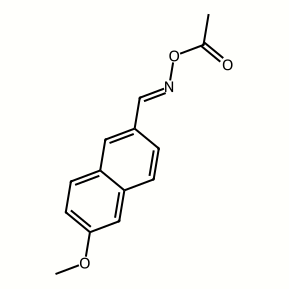 COc1ccc2cc(C=NOC(C)=O)ccc2c1